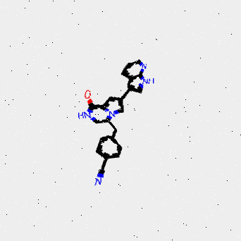 N#Cc1ccc(Cc2c[nH]c(=O)c3cc(-c4c[nH]c5ncccc45)cn23)cc1